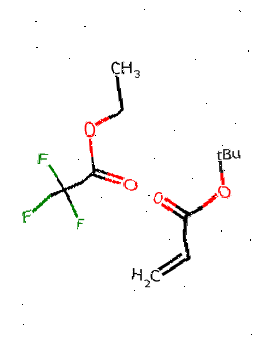 C=CC(=O)OC(C)(C)C.CCOC(=O)C(F)(F)F